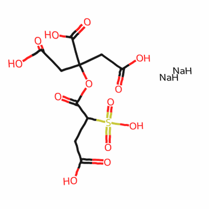 O=C(O)CC(C(=O)OC(CC(=O)O)(CC(=O)O)C(=O)O)S(=O)(=O)O.[NaH].[NaH]